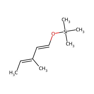 C/C=C(C)/C=C/O[Si](C)(C)C